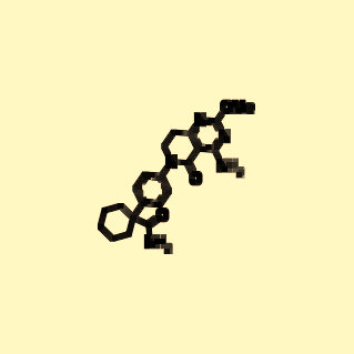 COc1nc(N)c2c(n1)CCN(c1ccc(C3(C(N)=O)CCCCC3)cc1)C2=O